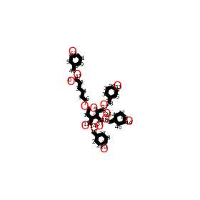 O=C(CCCCCOC(=O)CC(C(=O)OCC1CCC2OC2C1)C(CC(=O)OCC1CCC2OC2C1)C(=O)OCC1CCC2OC2C1)OCC1CCC2OC2C1